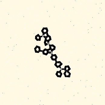 c1ccc(-c2ccc3c(c2)c2c(-n4ccc5c4ccc4c6ccccc6n(-c6ccccc6)c45)cccc2n3-c2ccc(-c3ccc(N(c4ccccc4)c4cccc5ccccc45)cc3)cc2)cc1